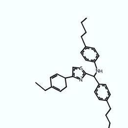 CCCCc1ccc(NC(c2ccc(CCCC)cc2)c2nc(C3C=CC(CC)=CC3)cs2)cc1